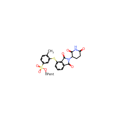 CCCCCOS(=O)(=O)c1ccc(C)c(Sc2cccc3c2C(=O)N(C2CCC(=O)NC2=O)C3=O)c1